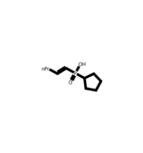 CCCC=CP(=O)(O)C1CCCC1